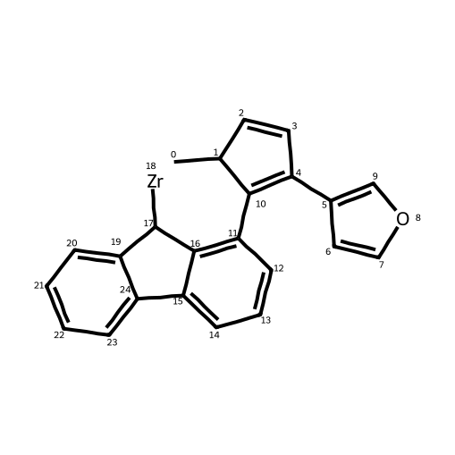 CC1C=CC(c2ccoc2)=C1c1cccc2c1[CH]([Zr])c1ccccc1-2